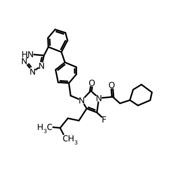 CC(C)CCc1c(F)n(C(=O)CC2CCCCC2)c(=O)n1Cc1ccc(-c2ccccc2-c2nnn[nH]2)cc1